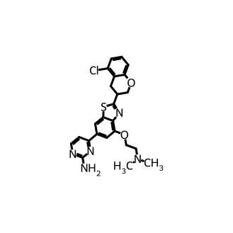 CN(C)CCOc1cc(-c2ccnc(N)n2)cc2sc(C3COc4cccc(Cl)c4C3)nc12